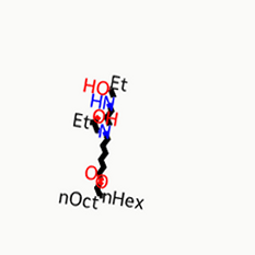 CCCCCCCCC(CCCCCC)COC(=O)CCCCCN(CCCNCC(O)CC)CC(O)CC